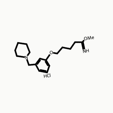 COC(=N)CCCCOc1cccc(CN2CCCCC2)c1.Cl